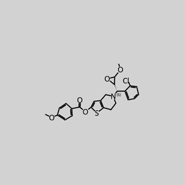 COc1ccc(C(=O)Oc2cc3c(s2)CCN([C@@H](c2ccccc2Cl)C2OC2OC)C3)cc1